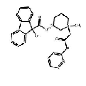 C[N+]1(CC(=O)Nc2cccnn2)CCC[C@@H](OC(=O)C2(O)c3ccccc3-c3ccccc32)C1